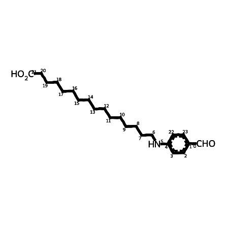 O=Cc1ccc(NCCCCCCCCCCCCCCCC(=O)O)cc1